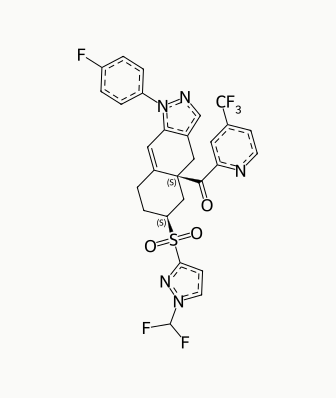 O=C(c1cc(C(F)(F)F)ccn1)[C@]12Cc3cnn(-c4ccc(F)cc4)c3C=C1CC[C@H](S(=O)(=O)c1ccn(C(F)F)n1)C2